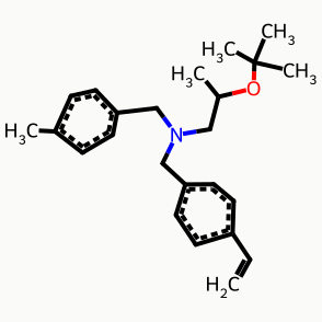 C=Cc1ccc(CN(Cc2ccc(C)cc2)CC(C)OC(C)(C)C)cc1